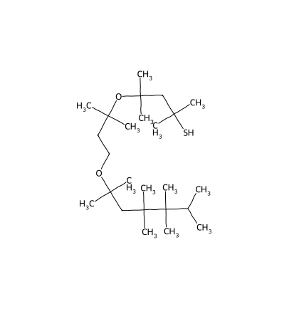 CC(C)C(C)(C)C(C)(C)CC(C)(C)OCCC(C)(C)OC(C)(C)CC(C)(C)S